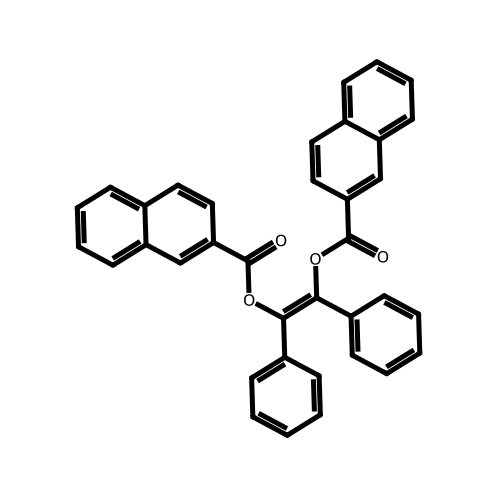 O=C(OC(=C(OC(=O)c1ccc2ccccc2c1)c1ccccc1)c1ccccc1)c1ccc2ccccc2c1